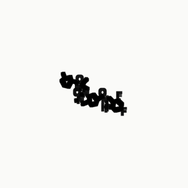 Cc1cccc(-c2nc(CN3C(=O)N(C)Cc4ccc(C(=O)NCc5c(F)cc(F)cc5F)cc43)c(C)o2)c1